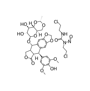 COc1cc([C@@H]2c3cc4c(cc3C(O[C@@H]3O[C@@H]5CO[C@@H](C)O[C@H]5[C@H](O)[C@H]3O)C3COC(=O)[C@@H]32)OCO4)cc(OC)c1O.O=NN(CCCl)C(=O)NCCCl